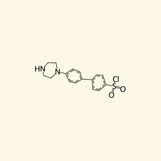 O=S(=O)(Cl)c1ccc(-c2ccc(N3CCNCC3)cc2)cc1